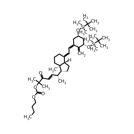 C=C1/C(=C\C=C2/CCC[C@]3(C)[C@@H]([C@H](C)/C=C/C(=O)C(C)(C)OC(=O)OCCCC)CC[C@@H]23)C[C@@H](O[Si](C)(C)C(C)(C)C)C[C@@H]1O[Si](C)(C)C(C)(C)C